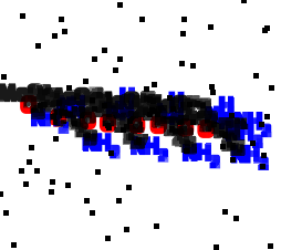 COc1ccc(NC(=O)[C@H](CCCCN)NC(=O)c2cc(NC(=O)[C@H](CCCCN)NC(=O)c3cc(NC(=O)[C@H](CCCCN)NC(=O)c4cc(NC(=O)[C@H](CCCCN)NC(N)N)ccc4OC)ccc3OC)ccc2OC)cc1C(N)=O